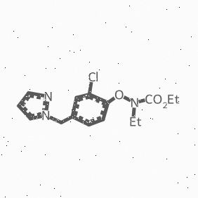 CCOC(=O)N(CC)Oc1ccc(Cn2cccn2)cc1Cl